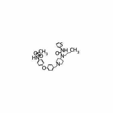 CCCCN(C(=O)Nc1cccs1)C1CCN(Cc2ccc(Oc3ccc(NS(C)(=O)=O)cc3)cc2)CC1